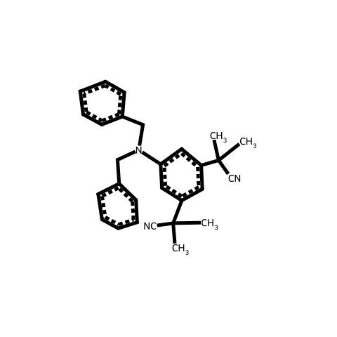 CC(C)(C#N)c1cc(N(Cc2ccccc2)Cc2ccccc2)cc(C(C)(C)C#N)c1